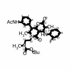 CC(=O)Nc1cccc(-c2c(C)n(CCN(C)C(=O)OC(C)(C)C)c(=O)c3c(Nc4ccccc4F)c(C)c(=O)oc23)c1